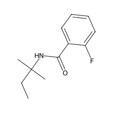 CCC(C)(C)NC(=O)c1ccccc1F